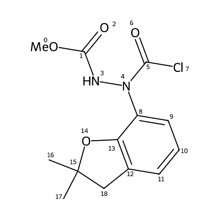 COC(=O)NN(C(=O)Cl)c1cccc2c1OC(C)(C)C2